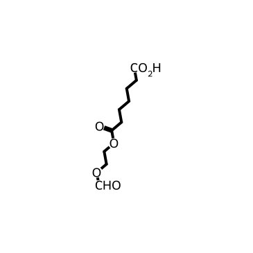 O=COCCOC(=O)CCCCCC(=O)O